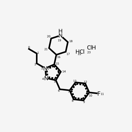 CCCn1nc(Cc2ccc(F)cc2)cc1C1CCNCC1.Cl.Cl